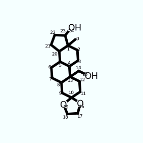 CC12CCC3C(CCC4CC5(CCC43CO)OCCO5)C1CCC2O